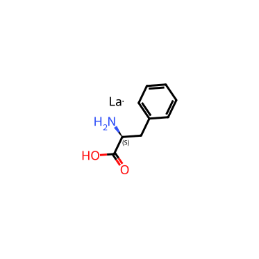 N[C@@H](Cc1ccccc1)C(=O)O.[La]